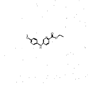 CCOC(=O)c1ccc(Nc2ccc(OC)cc2)cn1